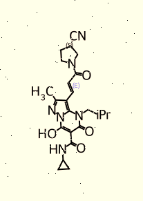 Cc1nn2c(O)c(C(=O)NC3CC3)c(=O)n(CC(C)C)c2c1/C=C/C(=O)N1CC[C@H](C#N)C1